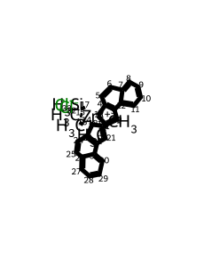 CC1=Cc2c(ccc3ccccc23)[CH]1[Zr+2]([CH3])([CH3])([SiH3])[CH]1C(C)=Cc2c1ccc1ccccc21.[Cl-].[Cl-]